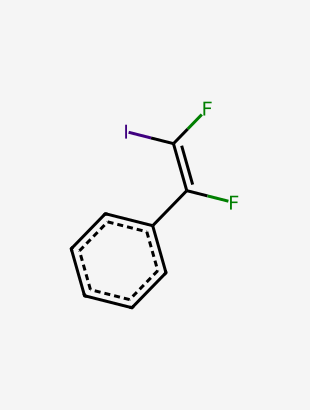 F/C(I)=C(\F)c1ccccc1